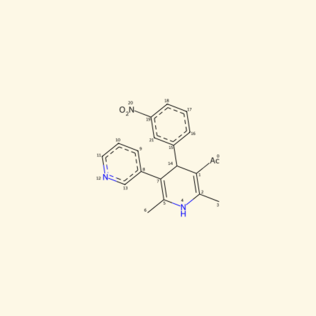 CC(=O)C1=C(C)NC(C)=C(c2cccnc2)C1c1cccc([N+](=O)[O-])c1